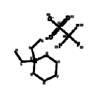 CC[N+]1(CC)CCCCC1.O=S(=O)([O-])C(F)(F)F